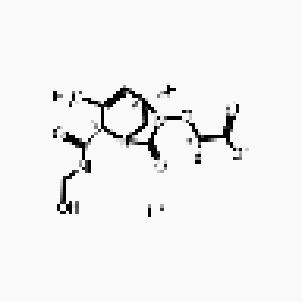 CC1=C[C@@H]2CN(C(=O)N2O[C@@H](F)C(=O)[O-])[C@@H]1C(=O)NCO.[Li+]